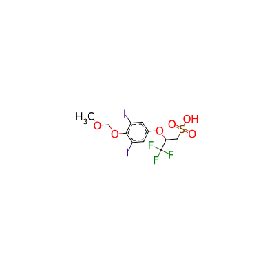 COCOc1c(I)cc(OC(CS(=O)(=O)O)C(F)(F)F)cc1I